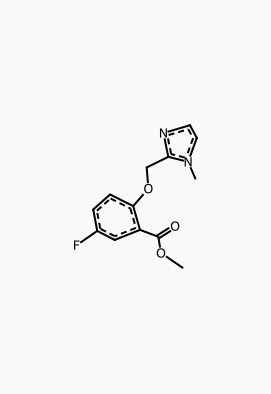 COC(=O)c1cc(F)ccc1OCc1nccn1C